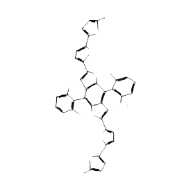 Cc1cccc(C)c1-c1c2cc(-c3ccc(-c4ccc(I)s4)s3)sc2c(-c2c(C)cccc2C)c2cc(-c3ccc(-c4ccc(I)s4)s3)sc12